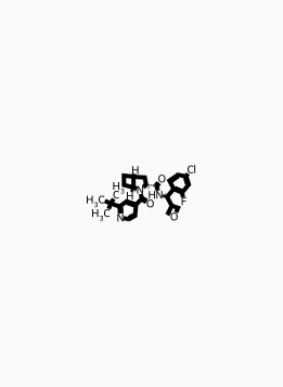 CC(C)(C)c1cc(C(=O)N2[C@@H](C(=O)N[C@@H](c3ccc(Cl)cc3F)C3COC3)C[C@H]3CC[C@H]32)ccn1